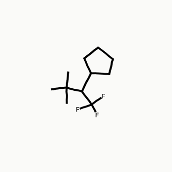 CC(C)(C)C(C1CCCC1)C(F)(F)F